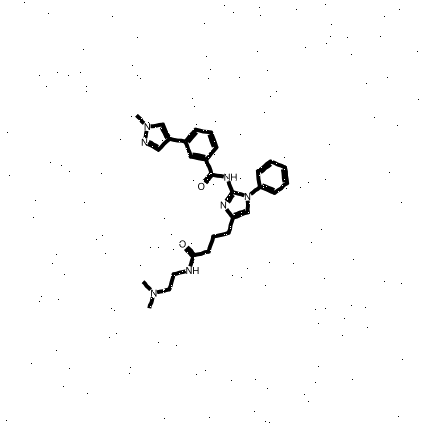 CN(C)CCNC(=O)CCCc1cn(-c2ccccc2)c(NC(=O)c2cccc(-c3cnn(C)c3)c2)n1